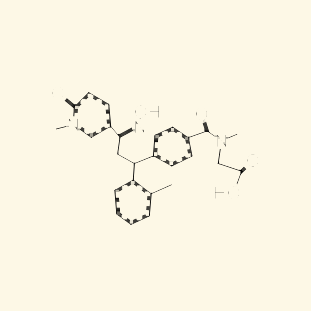 Cc1ccccc1C(CC(=NO)c1ccc(=O)n(C)c1)c1ccc(C(=O)N(C)CC(=O)O)cc1